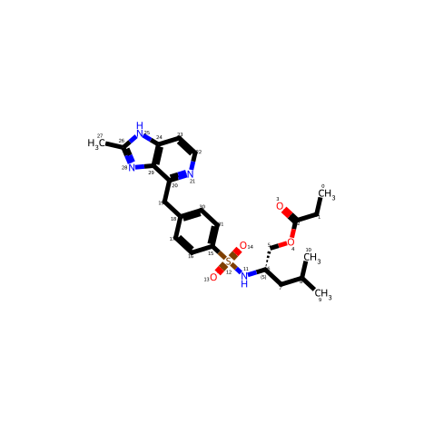 CCC(=O)OC[C@H](CC(C)C)NS(=O)(=O)c1ccc(Cc2nccc3[nH]c(C)nc23)cc1